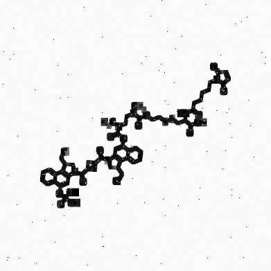 CN(CCN(C)C(=O)Oc1cc2c(c3ccccc13)C(CCl)CN2C(=O)C12CC(C(=O)N3CC(CCl)c4c3cc(OP(=O)(O)O)c3ccccc43)(C1)C2)C(=O)OCCSSCC(NC(=O)CCCCCN1C(=O)C=CC1=O)C(=O)O